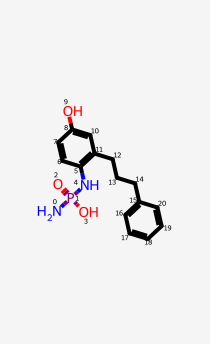 NP(=O)(O)Nc1ccc(O)cc1CCCc1ccccc1